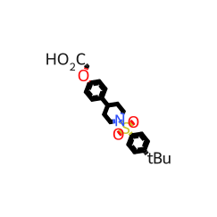 CC(C)(C)c1ccc(S(=O)(=O)N2CCC(c3ccc(OCC(=O)O)cc3)CC2)cc1